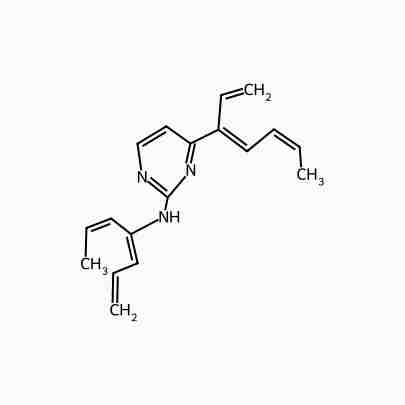 C=C/C=C(\C=C/C)Nc1nccc(/C(C=C)=C/C=C\C)n1